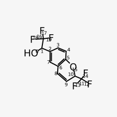 OC(c1ccc2c(c1)C=CC(C(F)(F)F)O2)C(F)(F)F